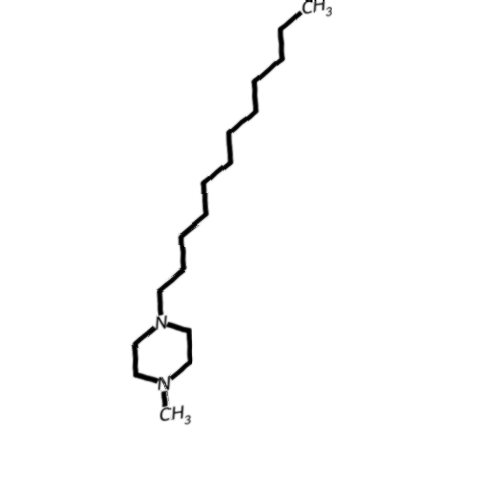 CCCCCCCCCCCCN1CCN(C)CC1